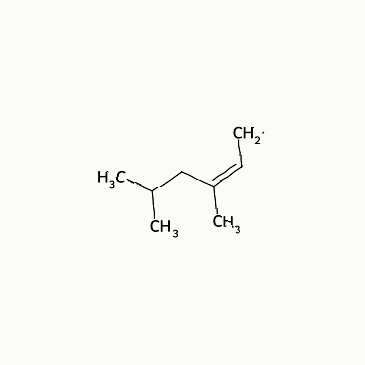 [CH2]C=C(C)CC(C)C